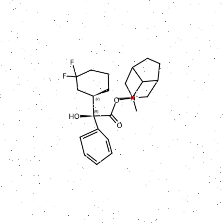 C[N+]1(C)CC2CCC(C1)C2COC(=O)[C@](O)(c1ccccc1)[C@@H]1CCCC(F)(F)C1